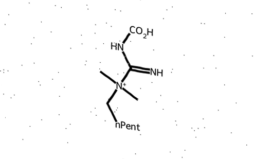 CCCCCC[N+](C)(C)C(=N)NC(=O)O